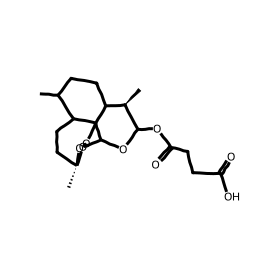 CC1CCC2[C@@H](C)C(OC(=O)CCC(=O)O)OC3O[C@]4(C)CCC1C32OO4